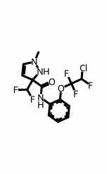 CN1C=CC(C(=O)Nc2ccccc2OC(F)(F)C(F)Cl)(C(F)F)N1